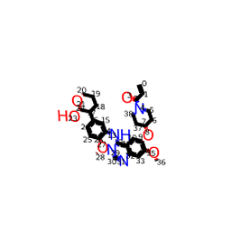 C=CC(=O)N1CCC(Oc2cc3c(Nc4cc(C5CCCOC5O)ccc4OC)ncnc3cc2OC)CC1